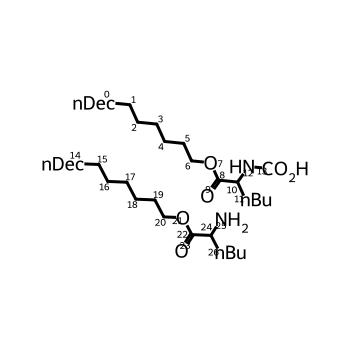 CCCCCCCCCCCCCCCCOC(=O)C(CCCC)NC(=O)O.CCCCCCCCCCCCCCCCOC(=O)C(N)CCCC